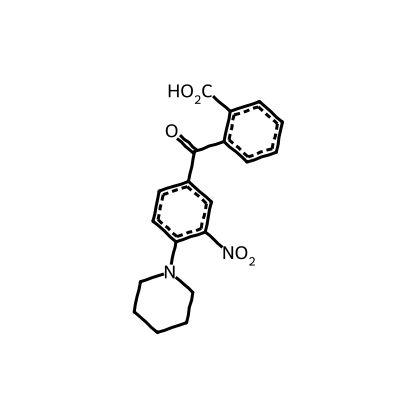 O=C(O)c1ccccc1C(=O)c1ccc(N2CCCCC2)c([N+](=O)[O-])c1